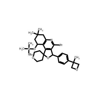 CC(C)c1nc2c(c3c1C(c1ccc(C4(C)COC4)cc1)OC31CCOCC1)C(O[Si](C)(C)C(C)(C)C)CC(C)(C)C2